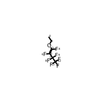 CCOC(F)=C(F)C(F)(F)C(F)(F)F